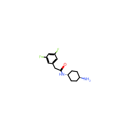 N[C@H]1CC[C@H](NC(=O)Cc2cc(F)cc(F)c2)CC1